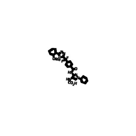 COc1ccccc1-c1nnc(C(F)(F)c2ccc(C(=O)Nc3nn(-c4ccccc4)cc3NC(=O)O)cc2)o1